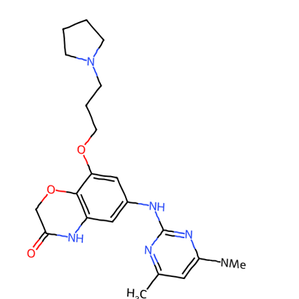 CNc1cc(C)nc(Nc2cc3c(c(OCCCN4CCCC4)c2)OCC(=O)N3)n1